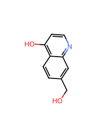 OCc1ccc2c(O)ccnc2c1